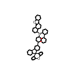 c1ccc(-c2ccccc2N(c2ccc(-c3ccc4c(c3)-c3ccccc3C43c4ccccc4Oc4ccccc43)cc2)c2cccc3c2ccc2c4ccccc4oc32)cc1